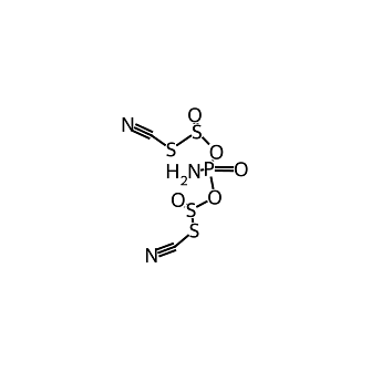 N#CSS(=O)OP(N)(=O)OS(=O)SC#N